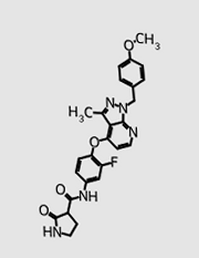 COc1ccc(Cn2nc(C)c3c(Oc4ccc(NC(=O)C5CCNC5=O)cc4F)ccnc32)cc1